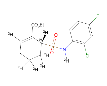 [2H]C1=C(C(=O)OCC)[C@]([2H])(S(=O)(=O)N([2H])c2ccc(F)cc2Cl)C([2H])([2H])C([2H])([2H])C1